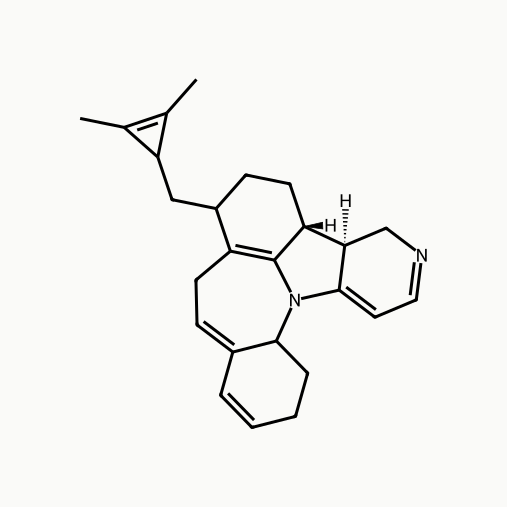 CC1=C(C)C1CC1CC[C@H]2C3=C1CC=C1C=CCCC1N3C1=CC=NC[C@@H]12